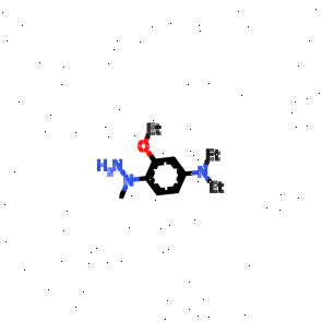 CCOc1cc(N(CC)CC)ccc1N(C)N